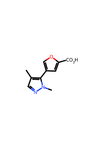 Cc1cnn(C)c1-c1coc(C(=O)O)c1